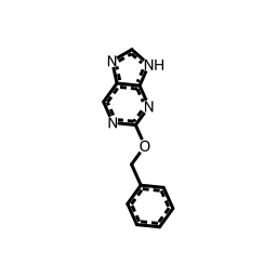 c1ccc(COc2ncc3nc[nH]c3n2)cc1